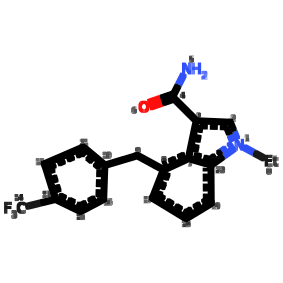 CCn1cc(C(N)=O)c2c(Cc3ccc(C(F)(F)F)cc3)cccc21